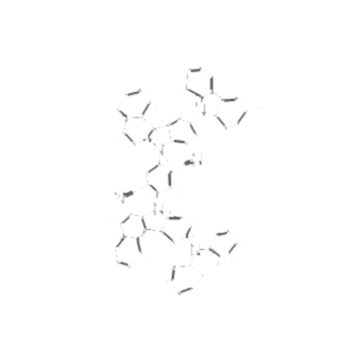 N#Cc1cc(-n2c3ccc(-n4c5ccccc5c5ccccc54)cc3c3c4ccccc4ccc32)c(C#N)cc1-n1c2ccc(N(c3ccccc3)C3C=CC=CC3)cc2c2c3ccccc3ccc21